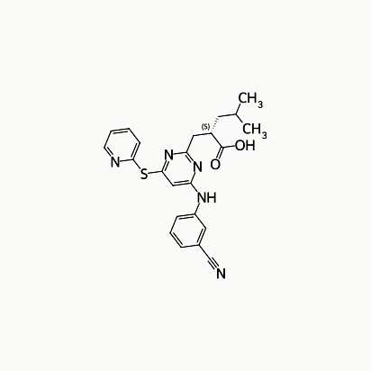 CC(C)C[C@@H](Cc1nc(Nc2cccc(C#N)c2)cc(Sc2ccccn2)n1)C(=O)O